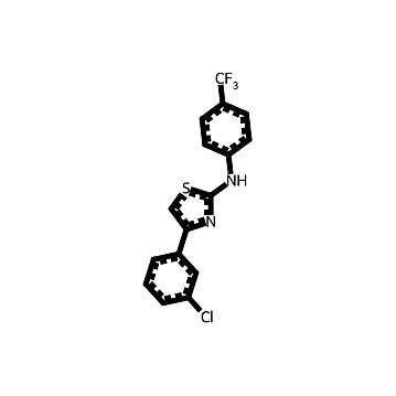 FC(F)(F)c1ccc(Nc2nc(-c3cccc(Cl)c3)cs2)cc1